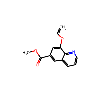 C=COc1cc(C(=O)OC)cc2cccnc12